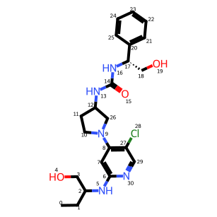 CCC(CO)Nc1cc(N2CCC(NC(=O)N[C@@H](CO)c3ccccc3)C2)c(Cl)cn1